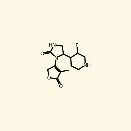 CC1=C(N2C(=O)NCC2C2CCNCC2F)COC1=O